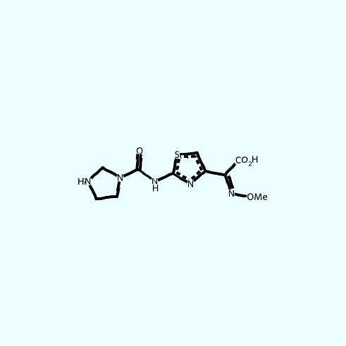 CO/N=C(\C(=O)O)c1csc(NC(=O)N2CCNC2)n1